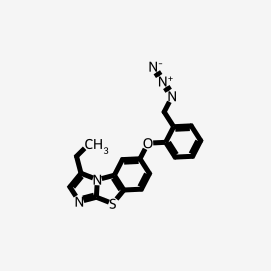 CCc1cnc2sc3ccc(Oc4ccccc4CN=[N+]=[N-])cc3n12